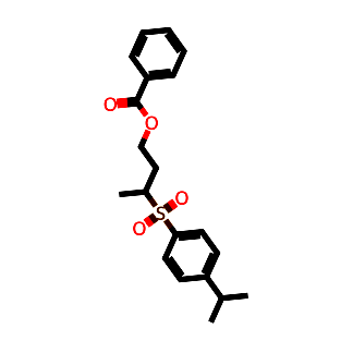 CC(C)c1ccc(S(=O)(=O)C(C)CCOC(=O)c2ccccc2)cc1